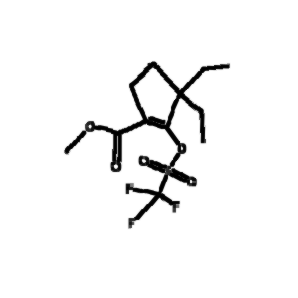 CCC1(CC)CCC(C(=O)OC)=C1OS(=O)(=O)C(F)(F)F